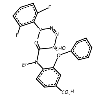 CCN(C(=O)N(C=O)/N=N\N(C)c1c(F)cccc1F)c1ccc(C(=O)O)cc1Oc1ccccc1